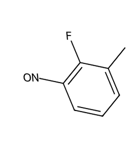 Cc1cccc(N=O)c1F